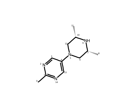 Cc1ncc(N2C[C@@H](C)N[C@@H](C)C2)cn1